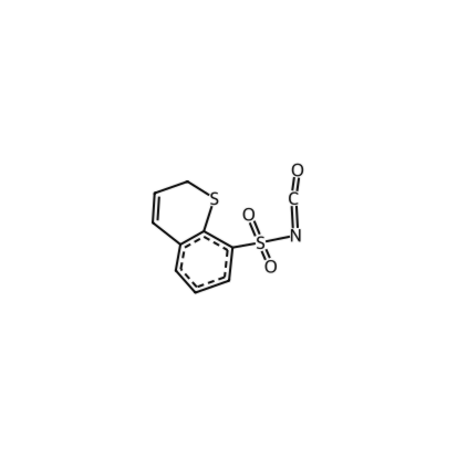 O=C=NS(=O)(=O)c1cccc2c1SCC=C2